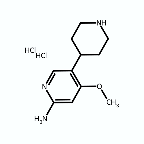 COc1cc(N)ncc1C1CCNCC1.Cl.Cl